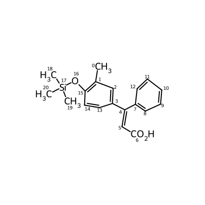 Cc1cc(C(=CC(=O)O)c2ccccc2)ccc1O[Si](C)(C)C